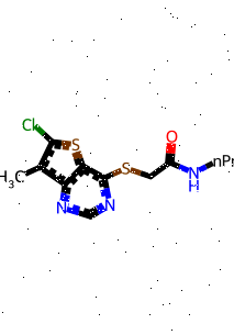 CCCNC(=O)CSc1ncnc2c(C)c(Cl)sc12